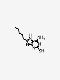 CCCCCc1nc2nc(S)nc(N)c2[nH]1